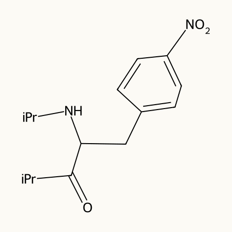 CC(C)NC(Cc1ccc([N+](=O)[O-])cc1)C(=O)C(C)C